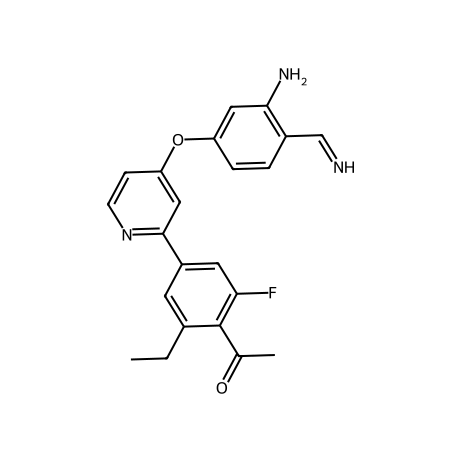 CCc1cc(-c2cc(Oc3ccc(C=N)c(N)c3)ccn2)cc(F)c1C(C)=O